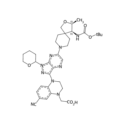 C[C@@H]1OCC2(CCN(c3cnc4c(N5CCN(CC(=O)O)c6cc(C#N)ccc65)nn(C5CCCCO5)c4n3)CC2)[C@@H]1NC(=O)OC(C)(C)C